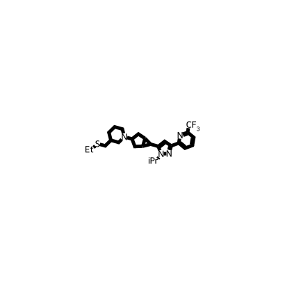 CCSCC1CCCN(C2CC3C(C2)C3c2cc(-c3cccc(C(F)(F)F)n3)nn2C(C)C)C1